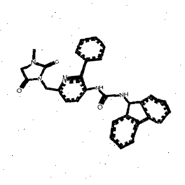 CN1CC(=O)N(Cc2ccc(NC(=O)NC3c4ccccc4-c4ccccc43)c(-c3ccccc3)n2)C1=O